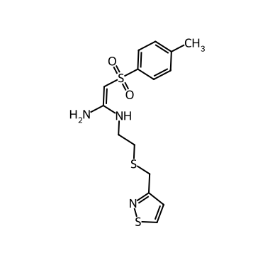 Cc1ccc(S(=O)(=O)C=C(N)NCCSCc2ccsn2)cc1